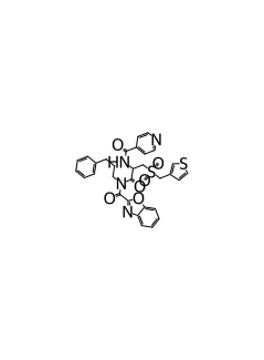 O=C(NC(CS(=O)(=O)Cc1ccsc1)C(=O)N(CCCc1ccccc1)C(=O)c1nc2ccccc2o1)c1ccncc1